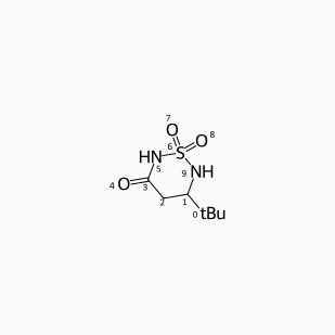 CC(C)(C)C1CC(=O)NS(=O)(=O)N1